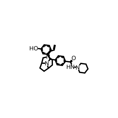 C=CCN1CCC2CCC(C1)N2C(c1ccc(C(=O)NN2CCCCC2)cc1)c1cccc(O)c1